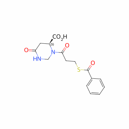 O=C1C[C@@H](C(=O)O)N(C(=O)CCSC(=O)c2ccccc2)CN1